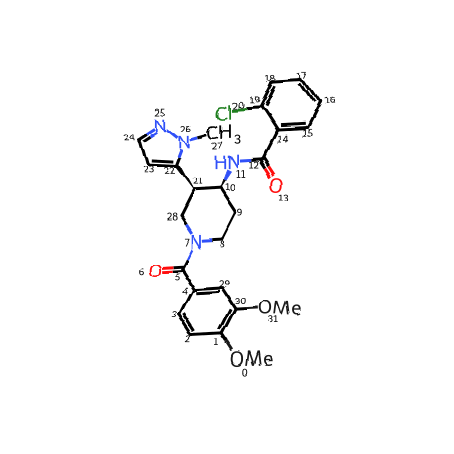 COc1ccc(C(=O)N2CC[C@H](NC(=O)c3ccccc3Cl)[C@H](c3ccnn3C)C2)cc1OC